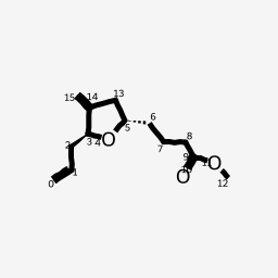 C=CC[C@@H]1O[C@@H](CCCC(=O)OC)CC1=C